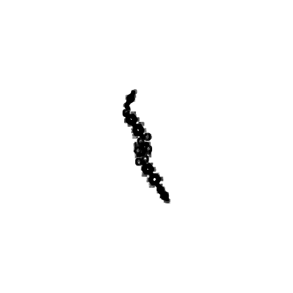 CC1C2C(CCOc3ccc(-c4ccc(C(=O)O[C@@H]5CO[C@@H]6[C@H]5OC[C@@H]6OC(=O)c5ccc(C6CCC(C7C8C7C87C8CC87)CC6)cc5)cc4)cc3)C12